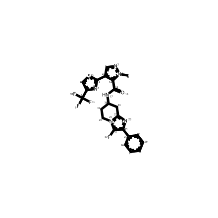 Cn1ncc(-c2nc(C(F)(F)F)cs2)c1C(=O)NC1CCn2c(nc(-c3ccccc3)c2F)C1